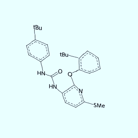 CSc1ccc(NC(=O)Nc2ccc(C(C)(C)C)cc2)c(Oc2ccccc2C(C)(C)C)n1